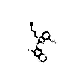 C#CCCCn1c(Sc2cc3c(cc2Br)OCCO3)nc2c(N)nccc21